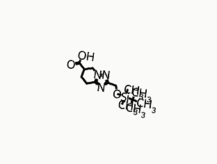 CC(C)(C)[Si](C)(C)OCc1nc2n(n1)CC(C(=O)O)CC2